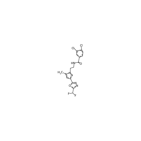 Cn1cc(-c2nnc(C(F)F)o2)nc1CCNC(=O)c1ccc(Cl)c(Cl)c1